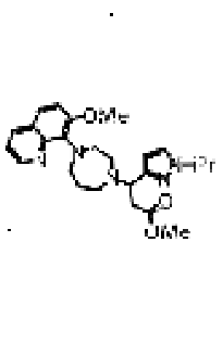 COC(=O)CC(c1ccn(C(C)C)n1)N1CCCN(c2c(OC)ccc3cccnc23)CC1